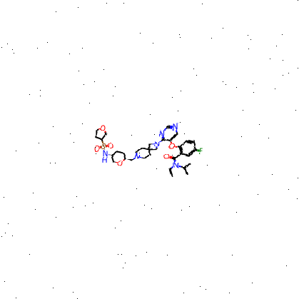 CCN(C(=O)c1cc(F)ccc1Oc1cncnc1N1CC2(CCN(C[C@@H]3CC[C@@H](NS(=O)(=O)C4CCOC4)CO3)CC2)C1)C(C)C